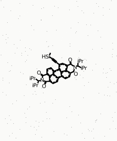 CC(C)C(C(C)C)N1C(=O)c2ccc3c4ccc5c6c(cc(C#C[SiH](C)C)c(c7ccc(c2c37)C1=O)c64)C(=O)N(C(C(C)C)C(C)C)C5=O